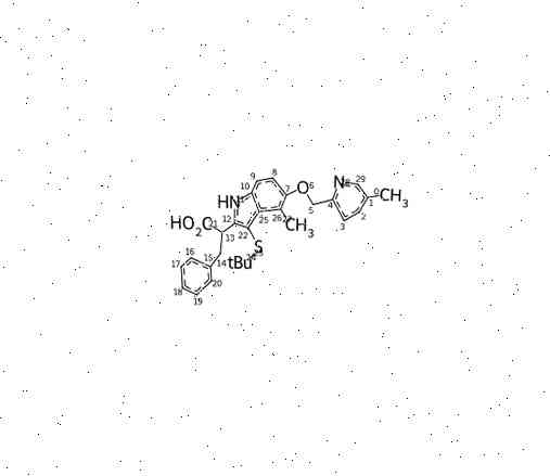 Cc1ccc(COc2ccc3[nH]c(C(Cc4ccccc4)C(=O)O)c(SC(C)(C)C)c3c2C)nc1